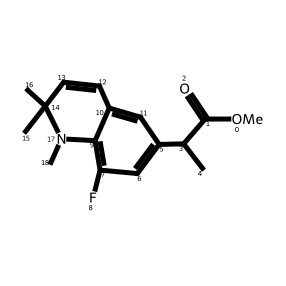 COC(=O)C(C)c1cc(F)c2c(c1)C=CC(C)(C)N2C